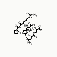 N=C(N)NCCC[C@H](N)C(=O)OC(=O)[C@@H]1CCCN1.NC(=O)C[C@H](N)C(=O)OC[C@H](N)C(=O)O.N[C@@H](Cc1c[nH]cn1)C(=O)O